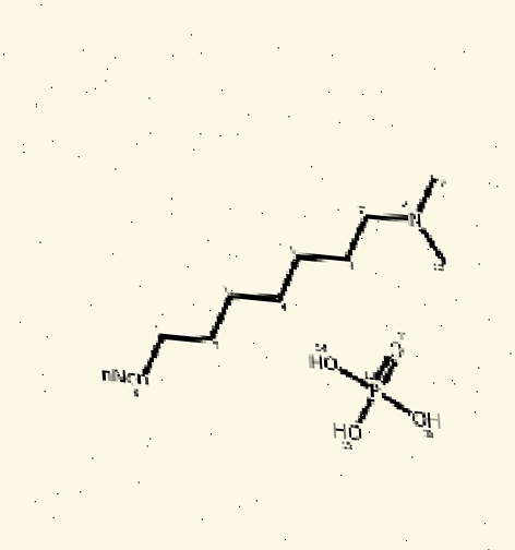 CCCCCCCCCCCCCCCCN(C)C.O=P(O)(O)O